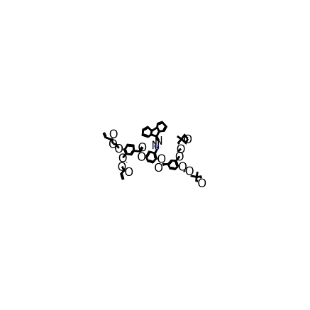 C=CC(=O)OCOc1ccc(C(=O)Oc2ccc(OC(=O)c3ccc(OCOCC4(C)COC4)c(OCOCC4(C)COC4)c3)c(/C=N/N=C3C4C=CC=CC4C4C=CC=CC34)c2)cc1OCOC(=O)C=C